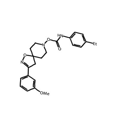 CCc1ccc(NC(=O)ON2CCC3(CC2)CC(c2cccc(OC)c2)=NO3)cc1